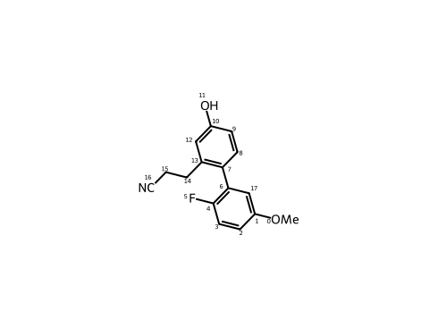 COc1ccc(F)c(-c2ccc(O)cc2CCC#N)c1